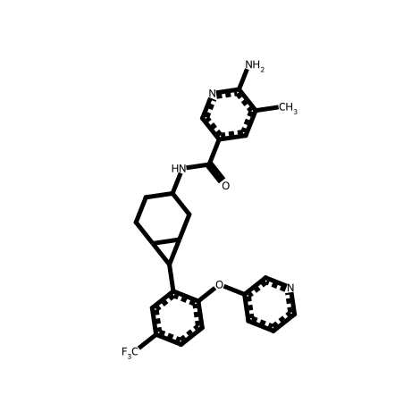 Cc1cc(C(=O)NC2CCC3C(C2)C3c2cc(C(F)(F)F)ccc2Oc2cccnc2)cnc1N